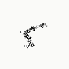 CC(CC(=O)N1CCC(O)(Cn2cnc3c(-c4ccc(CNCC(=O)NCCCCCCC(N)=O)cc4)n(C)nc3c2=O)CC1)c1ccccc1